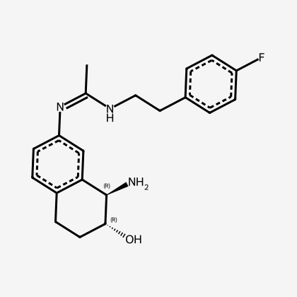 CC(=Nc1ccc2c(c1)[C@@H](N)[C@H](O)CC2)NCCc1ccc(F)cc1